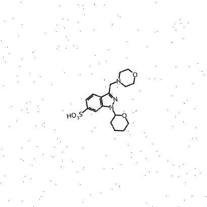 O=S(=O)(O)c1ccc2c(CN3CCOCC3)nn(C3CCCCO3)c2c1